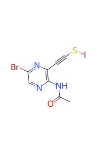 CC(=O)Nc1ncc(Br)nc1C#CSI